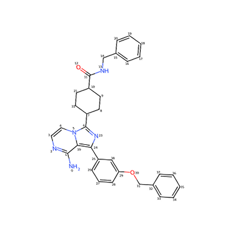 Nc1nccn2c(C3CCC(C(=O)NCc4ccccc4)CC3)nc(-c3cccc(OCc4ccccc4)c3)c12